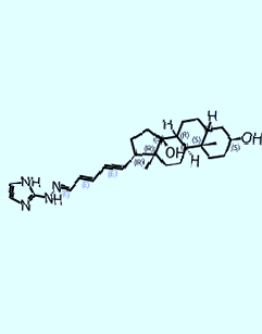 C[C@]12CC[C@H](O)C[C@H]1CC[C@@H]1[C@@H]2CC[C@]2(C)[C@@H](/C=C/C=C/C=N/Nc3ncc[nH]3)CC[C@]12O